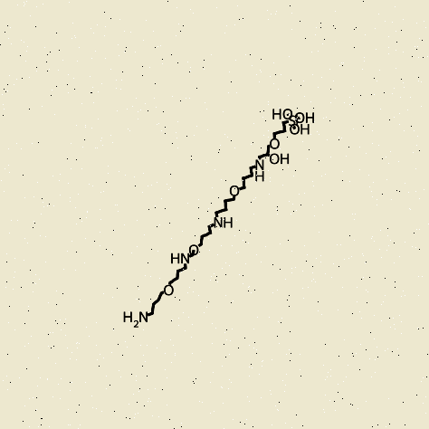 NCCCCOCCCCNCOCCCCNCCCCOCCCCNCC(O)COCCC[Si](O)(O)O